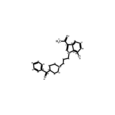 CC(=O)c1cn(CCCN2CCC(C(=O)c3ccccc3)CC2)c2c(Cl)cccc12